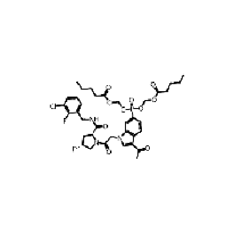 CCCCC(=O)OCOP(=O)(OCOC(=O)CCCC)c1ccc2c(C(C)=O)cn(CC(=O)N3C[C@H](F)C[C@H]3C(=O)NCc3cccc(Cl)c3F)c2c1